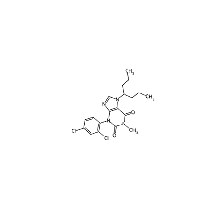 CCCC(CCC)n1cnc2c1c(=O)n(C)c(=O)n2-c1ccc(Cl)cc1Cl